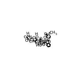 CCN1CCN(C(=O)NC(C(=O)N[C@]2(NO)C(=O)N3C(C(=O)O)=C(CSc4n[nH]c(=O)c(=O)n4C)CS[C@@H]32)c2ccccc2)C(=O)C1=O